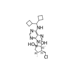 C[C@@H]1C[C@](O)(n2cnc3c(NC(C4CCC4)C4CCC4)ncnc32)[C@@](C)(O)[C@H]1CCl